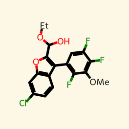 CCOC(O)c1oc2cc(Cl)ccc2c1-c1cc(F)c(F)c(OC)c1F